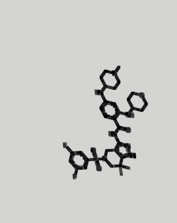 CN1CCC(Nc2ccc(C(=O)Nc3n[nH]c4c3CN(S(=O)(=O)c3cc(F)cc(F)c3)CC4(C)C)c(NC3CCOCC3)c2)CC1